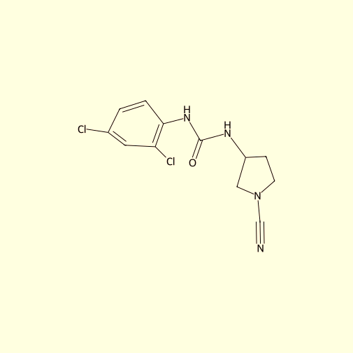 N#CN1CCC(NC(=O)Nc2ccc(Cl)cc2Cl)C1